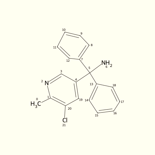 Cc1ncc(C(N)(c2ccccc2)c2ccccc2)cc1Cl